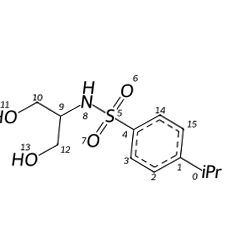 CC(C)c1ccc(S(=O)(=O)NC(CO)CO)cc1